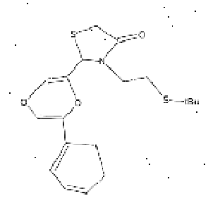 CC(C)(C)SCCN1C(=O)CSC1C1=COC=C(C2=CC=CCC2)O1